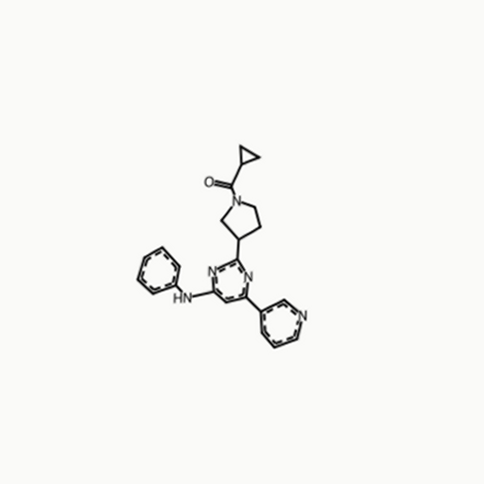 O=C(C1CC1)N1CCC(c2nc(Nc3ccccc3)cc(-c3cccnc3)n2)C1